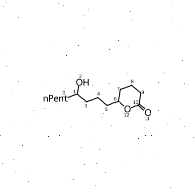 CCCCCC(O)CCCC1CCCC(=O)O1